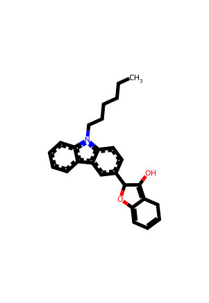 CCCCCCn1c2ccccc2c2cc(C3OC4=CC=CCC4=C3O)ccc21